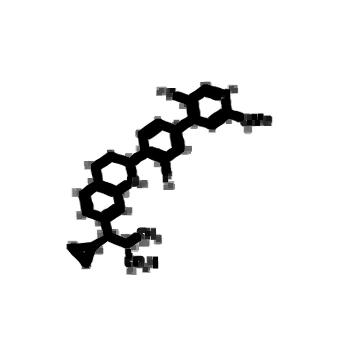 COc1cc(-c2ccc(C3CCc4ccc([C@H](C5CC5)[C@H](C)C(=O)O)cc4O3)c(F)c2)c(F)cn1